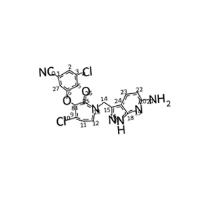 N#Cc1cc(Cl)cc(Oc2c(Cl)ccn(Cc3n[nH]c4nc(N)ccc34)c2=O)c1